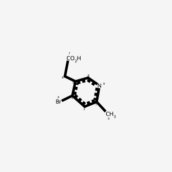 Cc1cc(Br)c(CC(=O)O)cn1